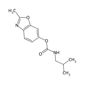 Cc1nc2ccc(OC(=O)NCC(C)C)cc2o1